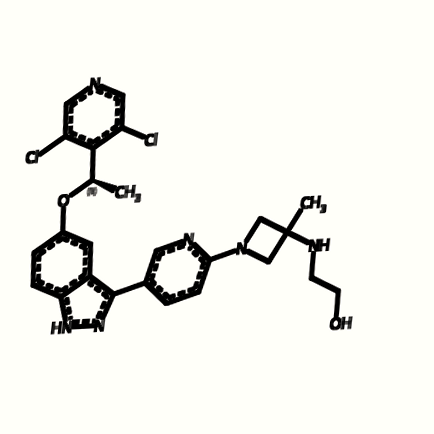 C[C@@H](Oc1ccc2[nH]nc(-c3ccc(N4CC(C)(NCCO)C4)nc3)c2c1)c1c(Cl)cncc1Cl